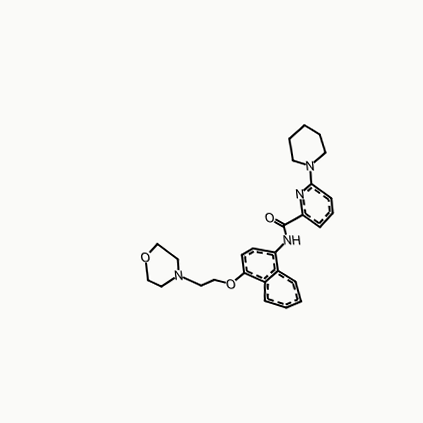 O=C(Nc1ccc(OCCN2CCOCC2)c2ccccc12)c1cccc(N2CCCCC2)n1